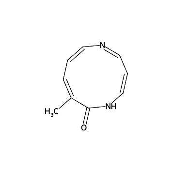 Cc1cccnccc[nH]c1=O